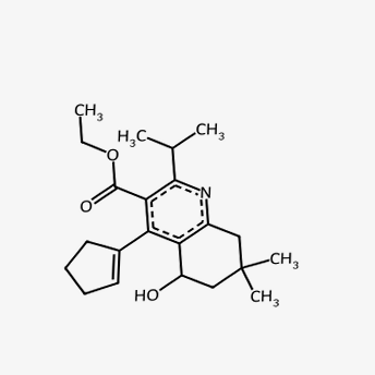 CCOC(=O)c1c(C(C)C)nc2c(c1C1=CCCC1)C(O)CC(C)(C)C2